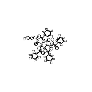 CCCCCCCCCCSC(=O)[C@H](OC(=O)c1ccccc1)[C@@H](OC(=O)c1ccccc1)[C@H](OC(=O)c1ccccc1)[C@@H](COC(=O)c1ccccc1)CC(=O)O